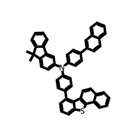 CC1(C)c2ccccc2-c2cc(N(c3ccc(-c4ccc5ccccc5c4)cc3)c3ccc(-c4cccc5sc6c7ccccc7ccc6c45)cc3)ccc21